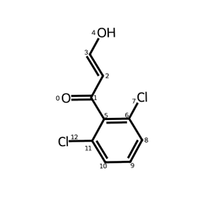 O=C(C=CO)c1c(Cl)cccc1Cl